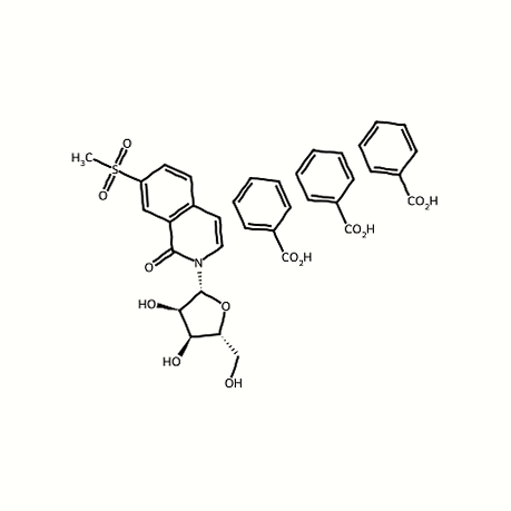 CS(=O)(=O)c1ccc2ccn([C@@H]3O[C@H](CO)[C@@H](O)[C@H]3O)c(=O)c2c1.O=C(O)c1ccccc1.O=C(O)c1ccccc1.O=C(O)c1ccccc1